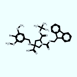 COc1cc(CNC2(C(=O)O)CC(C(=O)OC(C)(C)C)N(C(=O)OCC3c4ccccc4-c4ccccc43)C2)cc(OC)c1Br